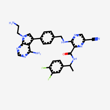 CC(NC(=O)c1nc(C#N)cnc1NCc1ccc(-c2cn(CCN)c3ncnc(N)c23)cc1)c1ccc(F)c(F)c1